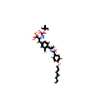 CCCCCCCOc1ccc(-c2nc(-c3ccc(CC(NC(=O)OC(C)(C)C)C(=O)O)cc3C)co2)cc1